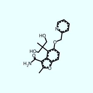 Cc1oc2ccc(OCc3ccccn3)c(C(C)(CO)CO)c2c1C(N)=O